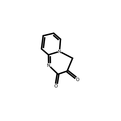 O=C1CN2C=CC=CC2=NC1=O